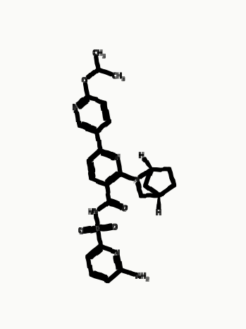 CC(C)Oc1ccc(-c2ccc(C(=O)NS(=O)(=O)c3cccc(N)n3)c(N3C[C@H]4CC[C@@H]3C4)n2)cn1